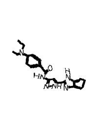 CCN(CC)c1ccc(C(=O)Nc2cc(-c3nc4ccccc4[nH]3)[nH]n2)cc1